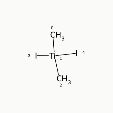 [CH3][Ti]([CH3])([I])[I]